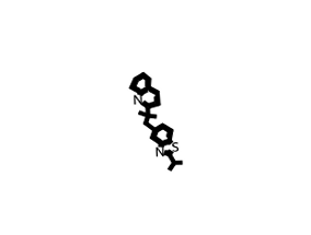 CC(C)c1nc2cc(CC(C)(C)c3ccc4ccccc4n3)ccc2s1